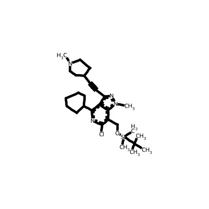 CN1CCC(C#Cc2nn(C)c3c(CO[Si](C)(C)C(C)(C)C)c(Cl)nc(C4CCCCC4)c23)CC1